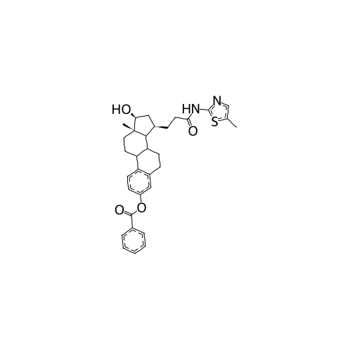 Cc1cnc(NC(=O)CC[C@@H]2C[C@H](O)[C@@]3(C)CCC4c5ccc(OC(=O)c6ccccc6)cc5CCC4C23)s1